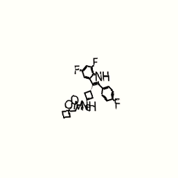 COC1(CC(=O)N[C@H]2C[C@@H](c3c(-c4ccc(F)cc4)[nH]c4c(F)cc(F)cc43)C2)CCC1